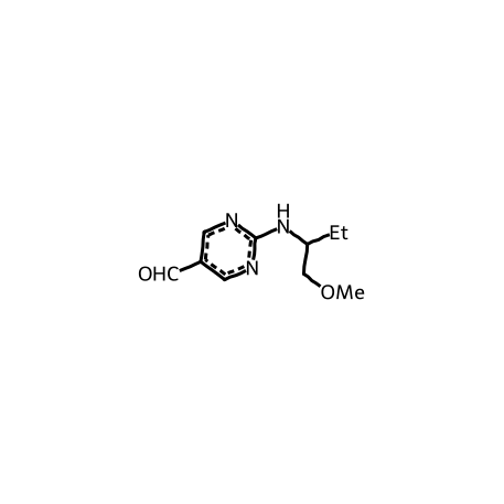 CCC(COC)Nc1ncc(C=O)cn1